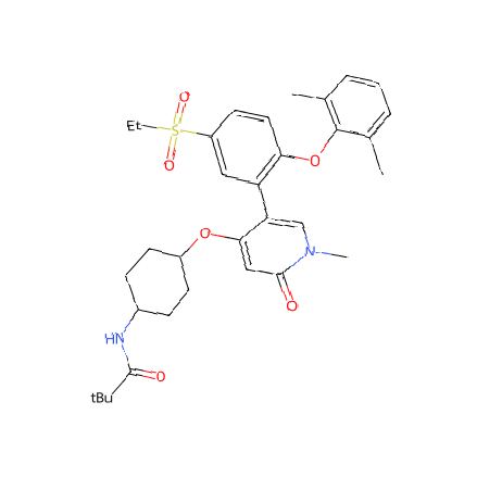 CCS(=O)(=O)c1ccc(Oc2c(C)cccc2C)c(-c2cn(C)c(=O)cc2OC2CCC(NC(=O)C(C)(C)C)CC2)c1